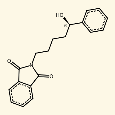 O=C1c2ccccc2C(=O)N1CCCC[C@@H](O)c1ccccc1